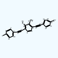 Cc1ccc(C#Cc2ccc(C#Cc3ccc(I)cc3)c(C(C)C)c2F)cc1